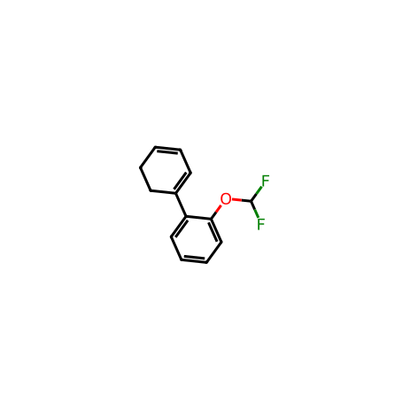 FC(F)Oc1ccccc1C1=CC=CCC1